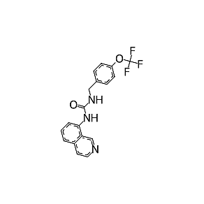 O=C(NCc1ccc(OC(F)(F)F)cc1)Nc1cccc2ccncc12